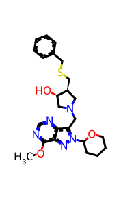 COc1ncnc2c(CN3C[C@H](CSCc4ccccc4)[C@H](O)C3)n(C3CCCCO3)nc12